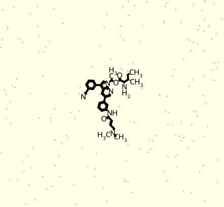 CC[C@H](C)[C@H](N)C(=O)OC(C)n1cc(-c2cccc(C#N)c2)c2cc(-c3cccc(NC(=O)/C=C/CN(C)C)c3)cnc21